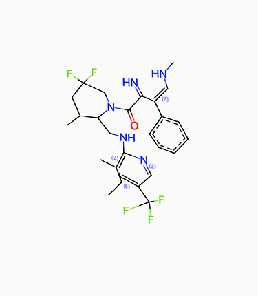 C\C=C(/C=N\C(NCC1C(C)CC(F)(F)CN1C(=O)C(=N)/C(=C\NC)c1ccccc1)=C(\C)CC)C(F)(F)F